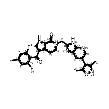 Cc1cc(F)c(C(=O)c2c[nH]c3c(=O)n(Cc4nc5cc(-c6c(C)noc6C)cnc5[nH]4)ccc23)c(F)c1